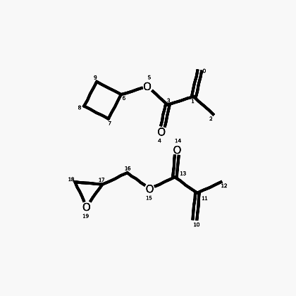 C=C(C)C(=O)OC1CCC1.C=C(C)C(=O)OCC1CO1